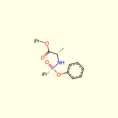 CC(C)OC(=O)[C@H](C)N[P@](=O)(Oc1ccccc1)C(C)C